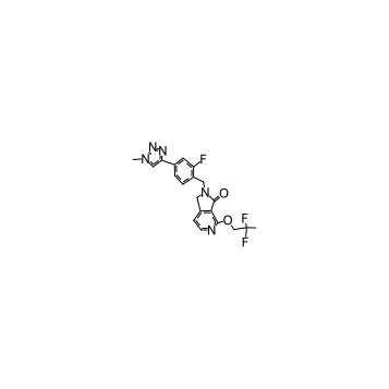 Cn1cc(-c2ccc(CN3Cc4ccnc(OCC(C)(F)F)c4C3=O)c(F)c2)nn1